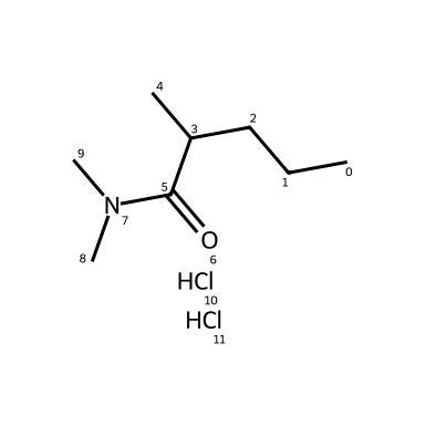 CCCC(C)C(=O)N(C)C.Cl.Cl